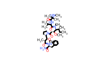 CC[C@H](C)[C@@H]([C@@H](CC(=O)N1CCC[C@H]1[C@H](OC)[C@@H](C)C(=O)N[C@@H](Cc1ccccc1)C(N)=O)OC)N(C)C(=O)C(NC(=O)C(C)(C)NC)C(C)C